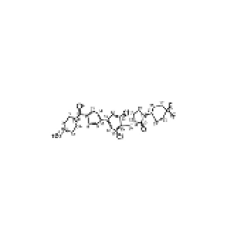 CC(C)(C)N1CCN(C(=O)c2ccc(-c3cc(Cl)c(C[C@@H]4CCN(C5CCC(F)(F)CC5)C4=O)c(Cl)c3)cc2)CC1